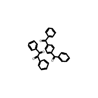 O=C(C(=O)c1ccccc1)c1ccccc1.O=C(c1ccccc1)c1ccc(C(=O)c2ccccc2)cc1